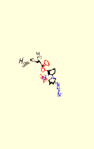 CC=C(C)C(=O)Oc1cccc(N2CCC[C@@H](N=[N+]=[N-])C2)c1[N+](=O)[O-]